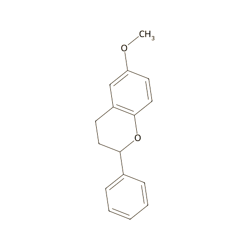 COc1ccc2c(c1)CCC(c1ccccc1)O2